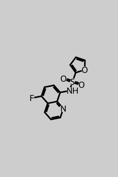 O=S(=O)(Nc1ccc(F)c2cccnc12)c1ccco1